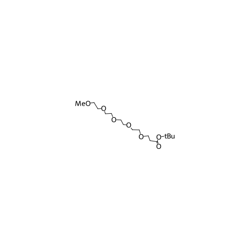 COCCOCCOCCOCCOCCC(=O)OC(C)(C)C